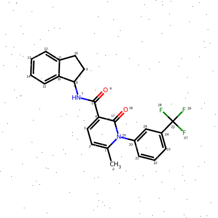 Cc1ccc(C(=O)NC2CCc3ccccc32)c(=O)n1-c1cccc(C(F)(F)F)c1